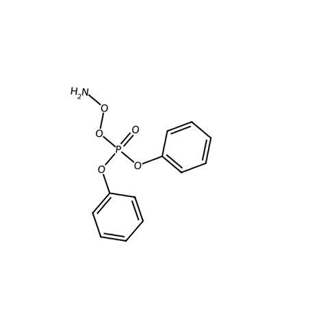 NOOP(=O)(Oc1ccccc1)Oc1ccccc1